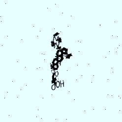 C=C(C)[C@@H]1CC[C@]2(CCN3CCN(CC)CC3)CC[C@]3(C)[C@H](CC[C@@H]4[C@@]5(C)CC[C@H](OC(=O)CC(C)(C)C(=O)O)C(C)(C)[C@@H]5CC[C@]43C)[C@@H]12